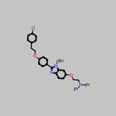 CCCCn1c(-c2ccc(OCCc3ccc(Cl)cc3)cc2)nc2ccc(OCCN(C(C)C)C(C)C)cc21